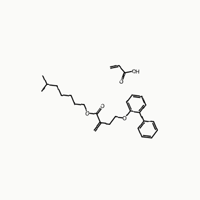 C=C(CCOc1ccccc1-c1ccccc1)C(=O)OCCCCCC(C)C.C=CC(=O)O